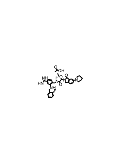 CC(=O)O.CCOC(C(=O)NCc1ccc(C(=N)N)cc1NCc1ccccc1F)N1Cc2ccc(N3CCCCC3)cc2C1=O